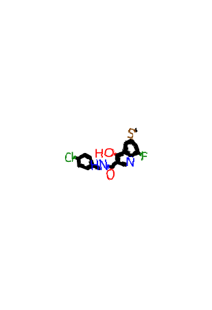 CSc1cc(F)c2ncc(C(=O)NCc3ccc(Cl)cc3)c(O)c2c1